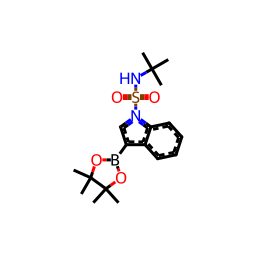 CC(C)(C)NS(=O)(=O)n1cc(B2OC(C)(C)C(C)(C)O2)c2ccccc21